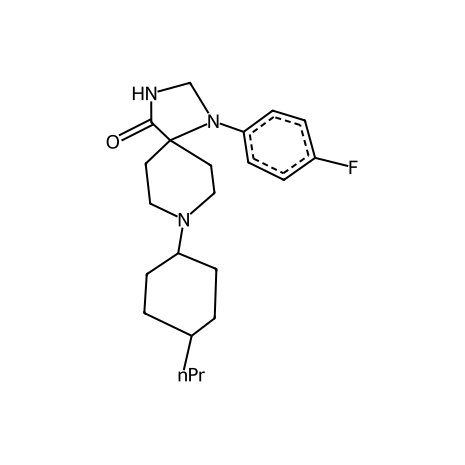 CCCC1CCC(N2CCC3(CC2)C(=O)NCN3c2ccc(F)cc2)CC1